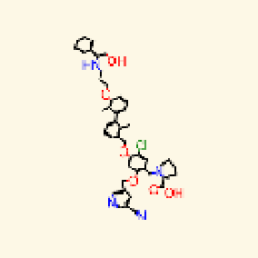 Cc1c(COc2cc(OCc3cncc(C#N)c3)c(CN3CCCC[C@H]3C(=O)O)cc2Cl)cccc1-c1cccc(OCCCNC(CO)c2ccccc2)c1C